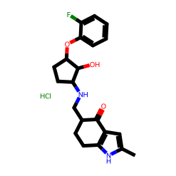 Cc1cc2c([nH]1)CCC(CNC1CCC(Oc3ccccc3F)C1O)C2=O.Cl